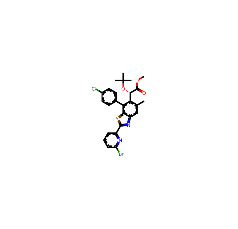 COC(=O)[C@@H](OC(C)(C)C)c1c(C)cc2nc(-c3cccc(Br)n3)sc2c1-c1ccc(Cl)cc1